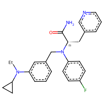 CCN(c1cccc(CN(c2ccc(F)cc2)[C@@H](Cc2cccnc2)C(N)=O)c1)C1CC1